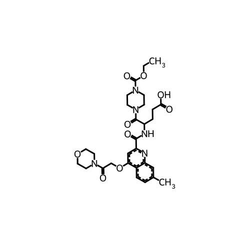 CCOC(=O)N1CCN(C(=O)C(CCC(=O)O)NC(=O)c2cc(OCC(=O)N3CCOCC3)c3ccc(C)cc3n2)CC1